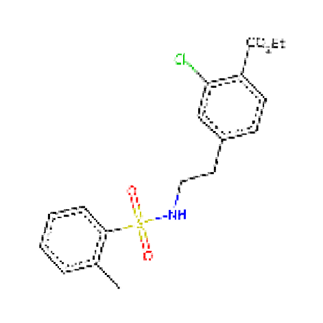 CCOC(=O)c1ccc(CCNS(=O)(=O)c2ccccc2C)cc1Cl